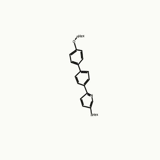 CCCCCCOc1ccc(-c2ccc(-c3ccc(CCCCCC)cn3)cc2)cc1